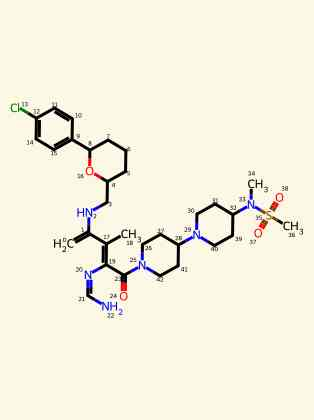 C=C(NCC1CCCC(c2ccc(Cl)cc2)O1)/C(C)=C(\N=C/N)C(=O)N1CCC(N2CCC(N(C)S(C)(=O)=O)CC2)CC1